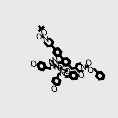 COc1ccc(CN(Cc2ccc(OC)cc2)S(=O)(=O)c2c(CC3CCN(C(=O)OCc4ccccc4)CC3)ccc(-c3ccc(C4CCN(C(=O)OC(C)(C)C)CC4)cc3)c2-c2nnn(Cc3ccc(OC)cc3)n2)cc1